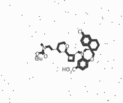 CN(CC[C@@H]1CCO[C@H]([C@@H]2CC[C@H]2CN2C[C@@]3(CCCc4cc(Cl)ccc43)COc3ccc(C(=O)O)cc32)C1)C(=O)OC(C)(C)C